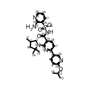 CC1CN(c2nc(-c3ccc(OC(C)C)nc3)ccc2C(=O)NS(=O)(=O)c2cccnc2N)C(C)(C)C1